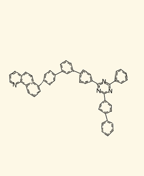 c1ccc(-c2ccc(-c3nc(-c4ccccc4)nc(-c4ccc(-c5cccc(-c6ccc(-c7cccc8c7ccc7cccnc78)cc6)c5)cc4)n3)cc2)cc1